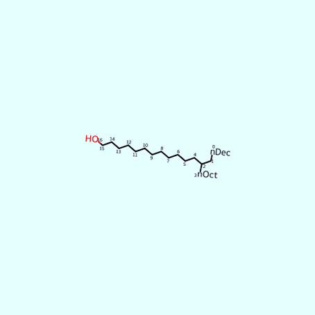 CCCCCCCCCCCC(CCCCCCCC)CCCCCCCCCCCCO